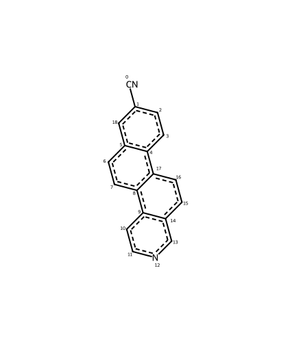 N#Cc1ccc2c(ccc3c4ccncc4ccc23)c1